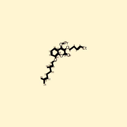 CC/C=C/CCOc1c(OC(C)C)c2cccc(OC/C=C(\C)CCC=C(C)C)c2oc1=O